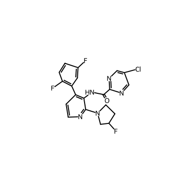 O=C(Nc1c(-c2cc(F)ccc2F)ccnc1N1CCC(F)C1)c1ncc(Cl)cn1